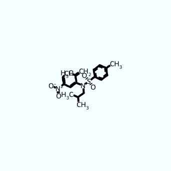 C=C(C)/C(=C\C(=C/C)[N+](=O)[O-])N(CC(C)C)S(=O)(=O)c1ccc(C)cc1